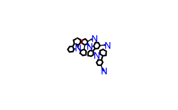 N#Cc1ccc2c(c1)c1ccccc1n2-c1cccc2c1c1cc(C#N)ccc1n2-c1c(C#N)cccc1-c1ccccc1-n1c2ccccc2c2ccccc21